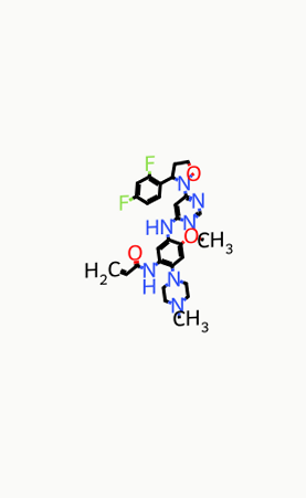 C=CC(=O)Nc1cc(Nc2cc(N3OCCC3c3ccc(F)cc3F)ncn2)c(OC)cc1N1CCN(C)CC1